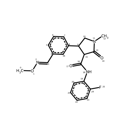 CON=Cc1cccc(C2CN(C)C(=O)C2C(=O)Nc2ccccc2F)c1